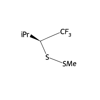 CSS[C@@H](C(C)C)C(F)(F)F